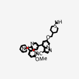 COc1ccc(CN2C3CC2CN(c2ccc(-c4cc(OCC5CCS(=N)CC5)cn5ncc(C#N)c45)cn2)C3)cn1